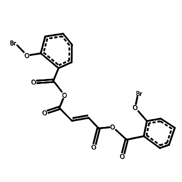 O=C(C=CC(=O)OC(=O)c1ccccc1OBr)OC(=O)c1ccccc1OBr